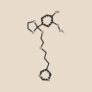 COc1cc(C2(OCCOCCCc3cncnc3)OCCO2)ccc1O